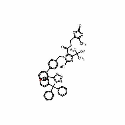 CCCc1nc(C(C)(C)O)c(C(=O)CCc2oc(=O)oc2C)n1Cc1ccc(-c2ccccc2-c2nnnn2C(c2ccccc2)(c2ccccc2)c2ccccc2)cc1